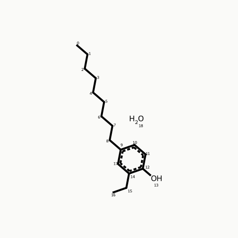 CCCCCCCCCc1ccc(O)c(CC)c1.O